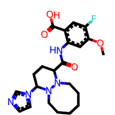 COc1cc(NC(=O)C2CCC(n3ccnc3)N3CCCCCCN23)c(C(=O)O)cc1F